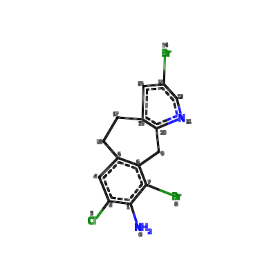 Nc1c(Cl)cc2c(c1Br)Cc1ncc(Br)cc1CC2